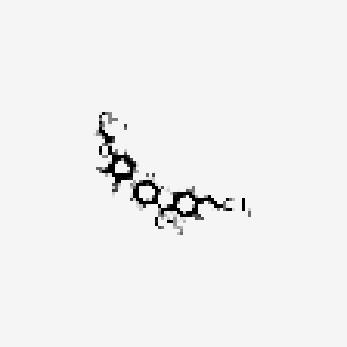 CCCOc1ccc([C@H]2CC[C@H](C(C)C3CCC(CCC)CC3)CC2)c(F)c1F